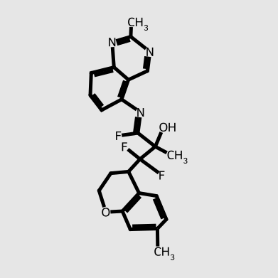 Cc1ccc2c(c1)OCCC2C(F)(F)C(C)(O)C(F)=Nc1cccc2nc(C)ncc12